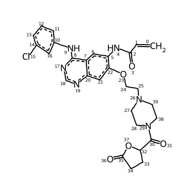 C=CC(=O)Nc1cc2c(Nc3cccc(Cl)c3)ncnc2cc1OCCN1CCN(C(=O)C2CCC(=O)O2)CC1